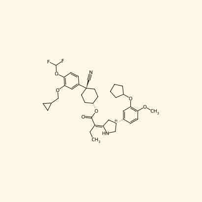 CCC(C(=O)O[C@H]1CC[C@@](C#N)(c2ccc(OC(F)F)c(OCC3CC3)c2)CC1)=C1C[C@H](c2ccc(OC)c(OC3CCCC3)c2)CN1